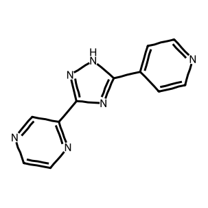 c1cc(-c2nc(-c3cnccn3)n[nH]2)ccn1